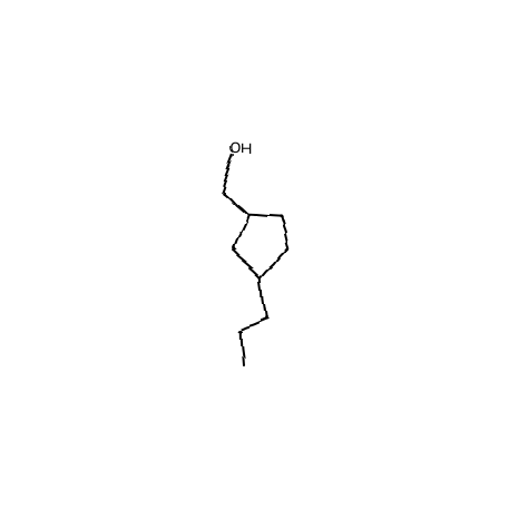 CCCC1CCC(CO)C1